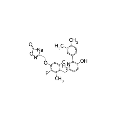 Cc1ccc(-c2nc(Cc3c(C)cc(OC[C]4=NO[C](=O)[Na]4)c(F)c3C)ccc2O)cc1C